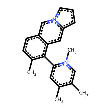 Cc1cc(-c2c(C)ccc3cn4cccc4cc23)[n+](C)cc1C